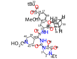 CCN1CCN(C(=O)NC(C(=O)NC(Cc2cccc(C(=O)OC(C)(C)C)c2OC)B2O[C@@H]3C[C@@H]4C[C@@H](C4(C)C)[C@]3(C)O2)C2CCN(C(=O)O)CC2)C(=O)C1=O